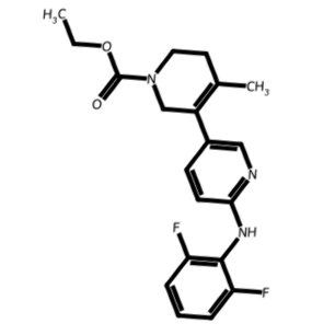 CCOC(=O)N1CCC(C)=C(c2ccc(Nc3c(F)cccc3F)nc2)C1